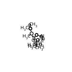 COc1ncc(-c2cccc(N(CC3CCC(c4ccc(OC)c(C)c4)CC3C)C(=O)C3CCCCC3O[Si](C)(C)C(C)(C)C)c2)s1